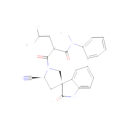 CC(C)CC(C(=O)N(C)c1ccccc1)C(=O)N1C[C@]2(C[C@H]1C#N)C(=O)Nc1ccccc12